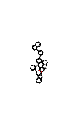 c1cc(-c2ccc(N(c3ccccc3-c3ccc4sc5ccccc5c4c3)c3cccc4oc5ccccc5c34)cc2)cc(-c2cccc3ccccc23)c1